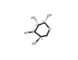 O[C@H]1[C@H](O)[C@H](O)OC[C@H]1O